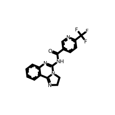 O=C(NC1=Nc2ccccc2C2=NCCN12)c1ccc(C(F)(F)F)nc1